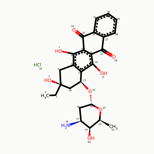 CC[C@]1(O)Cc2c(O)c3c(c(O)c2[C@@H](O[C@H]2C[C@H](N)[C@H](O)[C@H](C)O2)C1)C(=O)c1ccccc1C3=O.Cl